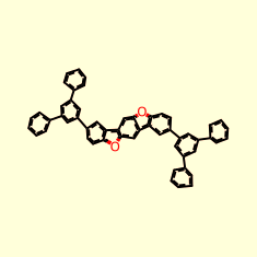 c1ccc(-c2cc(-c3ccccc3)cc(-c3ccc4oc5cc6c(cc5c4c3)oc3ccc(-c4cc(-c5ccccc5)cc(-c5ccccc5)c4)cc36)c2)cc1